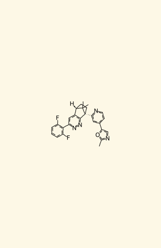 Cc1ncc(-c2ccnc([C@]34CC[C@@H](c5cc(-c6c(F)cccc6F)nnc53)C4(C)C)c2)o1